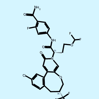 NC(=O)c1ccc(NC(=O)[C@H](CCOC(F)F)n2cc3c(cc2=O)-c2cc(Cl)ccc2C[C@@H](C(F)(F)F)CO3)cc1F